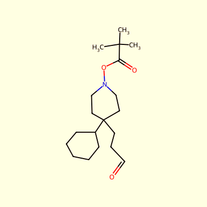 CC(C)(C)C(=O)ON1CCC(CCC=O)(C2CCCCC2)CC1